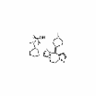 O=S(=O)(O)NC1CCCCC1.c1cn2c(n1)C(=C1CCNCC1)c1ccsc1CC2